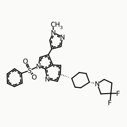 Cn1cc(-c2cn(S(=O)(=O)c3ccccc3)c3ncc([C@H]4CC[C@@H](N5CCC(F)(F)C5)CC4)cc23)cn1